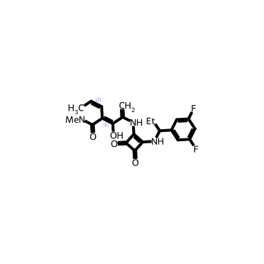 C=C(Nc1c(NC(CC)c2cc(F)cc(F)c2)c(=O)c1=O)/C(O)=C(\C=C/C)C(=O)NC